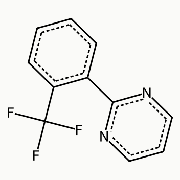 FC(F)(F)c1ccccc1-c1ncccn1